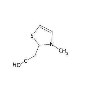 CN1C=CSC1CCO